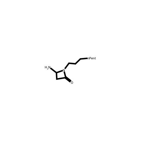 CCCCCCCCN1C(=O)CC1N